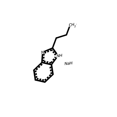 [CH2]CCc1nc2ccccc2[nH]1.[NaH]